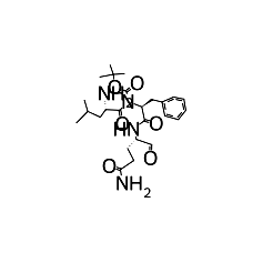 CC(C)C[C@H](N)C(=O)N(C(=O)OC(C)(C)C)[C@@H](Cc1ccccc1)C(=O)N[C@H](C=O)CCC(N)=O